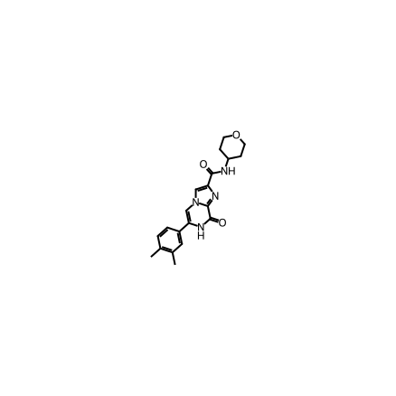 Cc1ccc(-c2cn3cc(C(=O)NC4CCOCC4)nc3c(=O)[nH]2)cc1C